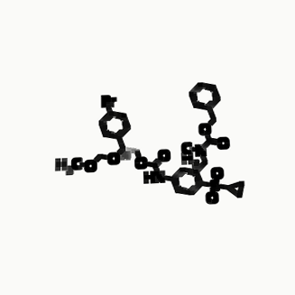 COCO[C@@H](COC(=O)Nc1ccc(S(=O)(=O)C2CC2)c(CN(C)C(=O)OCc2ccccc2)c1)c1ccc(Br)cc1